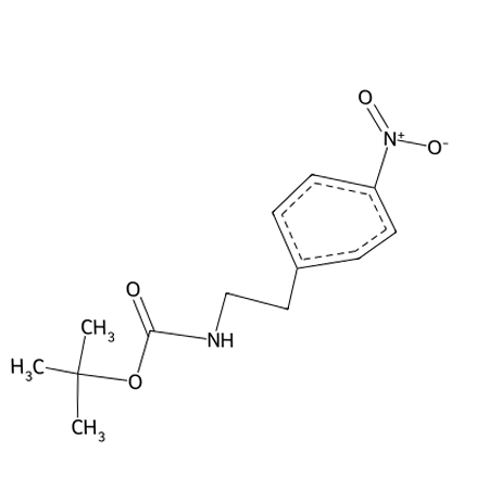 CC(C)(C)OC(=O)NCCc1ccc([N+](=O)[O-])cc1